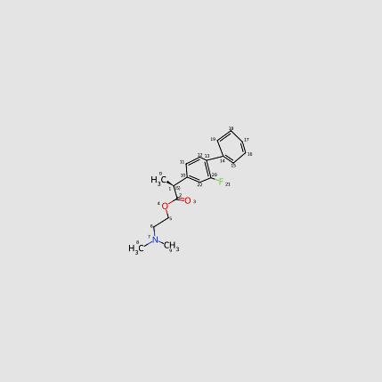 C[C@H](C(=O)OCCN(C)C)c1ccc(-c2ccccc2)c(F)c1